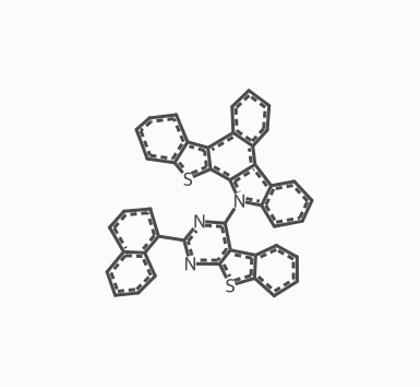 c1ccc2c(-c3nc(-n4c5ccccc5c5c6ccccc6c6c7ccccc7sc6c54)c4c(n3)sc3ccccc34)cccc2c1